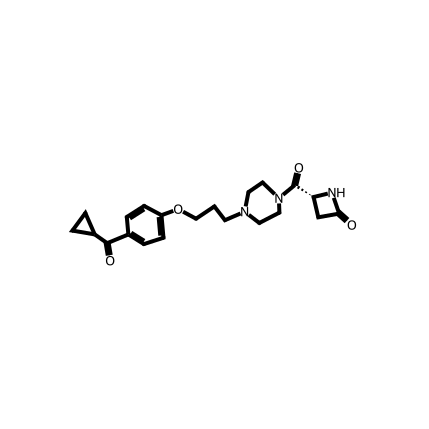 O=C1C[C@H](C(=O)N2CCN(CCCOc3ccc(C(=O)C4CC4)cc3)CC2)N1